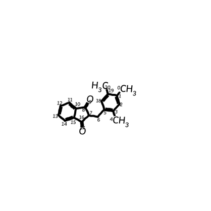 Cc1cc(C)c(CC2C(=O)c3ccccc3C2=O)cc1C